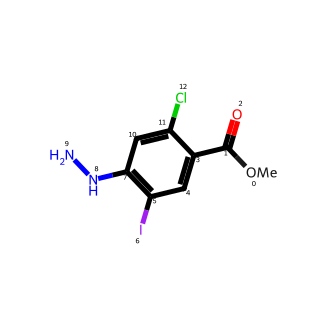 COC(=O)c1cc(I)c(NN)cc1Cl